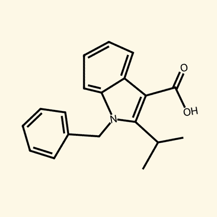 CC(C)c1c(C(=O)O)c2ccccc2n1Cc1ccccc1